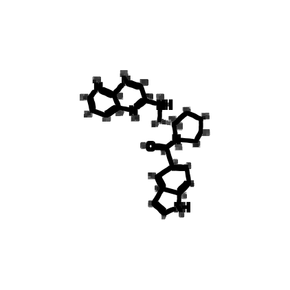 O=C(c1ccc2[nH]ccc2c1)N1CCCC[C@H]1CNc1cnc2ncccc2n1